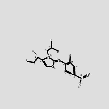 CC[C@H](C)c1csc(=Nc2ccc([N+](=O)[O-])cc2C)n1CC(C)C